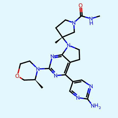 CNC(=O)N1CC[C@@](C)(N2CCc3c(-c4cnc(N)nc4)nc(N4CCOC[C@@H]4C)nc32)C1